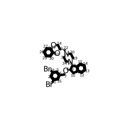 Brc1cc(Br)cc(CO[C@@H]2Cc3ccccc3[C@H]2N2CCN(C[C@H]3COc4ccccc4O3)CC2)c1